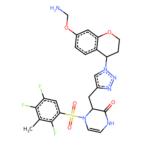 Cc1c(F)c(F)cc(S(=O)(=O)N2C=CNC(=O)C2Cc2cn(C3CCOc4cc(OCN)ccc43)nn2)c1F